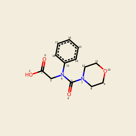 O=C(O)CN(C(=O)N1CCOCC1)c1ccccc1